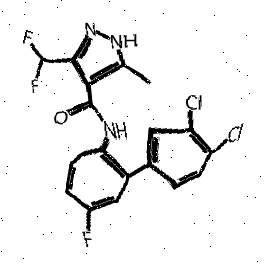 Cc1[nH]nc(C(F)F)c1C(=O)Nc1ccc(F)cc1-c1ccc(Cl)c(Cl)c1